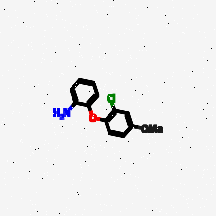 COc1ccc(Oc2ccccc2N)c(Cl)c1